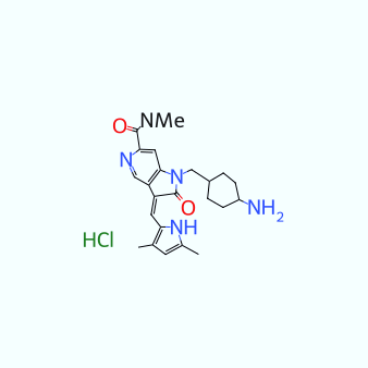 CNC(=O)c1cc2c(cn1)/C(=C/c1[nH]c(C)cc1C)C(=O)N2CC1CCC(N)CC1.Cl